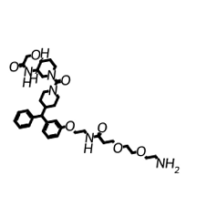 NCCOCCOCCC(=O)NCCOc1cccc(C(c2ccccc2)C2CCN(C(=O)N3CC[C@@H]4OCC(=O)N[C@@H]4C3)CC2)c1